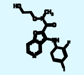 CN(OCCO)C(=O)c1oc2ccncc2c1NC1CC=C(I)C=C1F